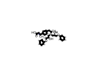 C/C(=C\C(=O)O)c1ccc(C[C@@H](C)N(C[C@H](O)COc2ccccc2)C[C@H](O)COc2ccccc2)cc1